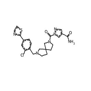 NC(=O)c1cnn(C(=O)N2CCC3(CCN(Cc4ccc(-c5nccs5)cc4Cl)C3)C2)c1